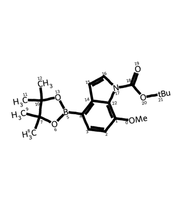 COc1ccc(B2OC(C)(C)C(C)(C)O2)c2ccn(C(=O)OC(C)(C)C)c12